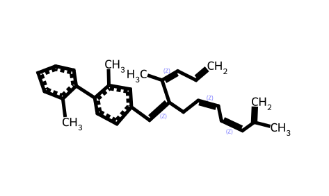 C=C/C=C(C)\C(=C/c1ccc(-c2ccccc2C)c(C)c1)C/C=C\C=C/C(=C)C